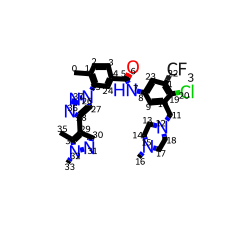 Cc1ccc(C(=O)Nc2cc(CN3CCN(C)CC3)c(Cl)c(C(F)(F)F)c2)cc1-n1cc(-c2cnn(C)c2C)nn1